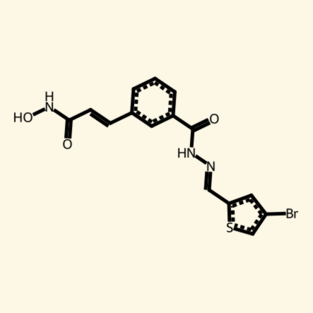 O=C(/C=C/c1cccc(C(=O)N/N=C/c2cc(Br)cs2)c1)NO